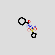 O=C(NNS(=O)(=O)C1CCCC1)C1CCCCCC1